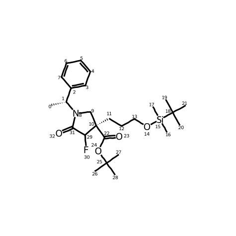 C[C@H](c1ccccc1)N1C[C@@](CCCO[Si](C)(C)C(C)(C)C)(C(=O)OC(C)(C)C)C(F)C1=O